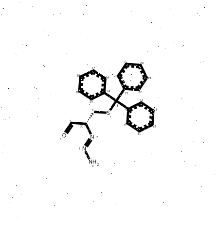 NN=N[C@H](C=O)CSC(c1ccccc1)(c1ccccc1)c1ccccc1